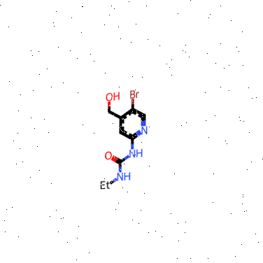 CCNC(=O)Nc1cc(CO)c(Br)cn1